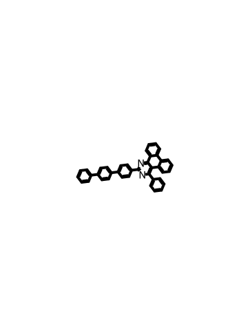 c1ccc(-c2ccc(-c3ccc(-c4nc(-c5ccccc5)c5c6ccccc6c6ccccc6c5n4)cc3)cc2)cc1